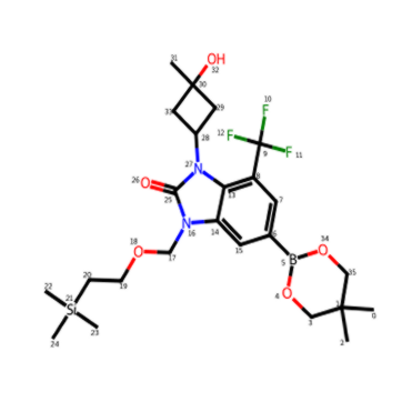 CC1(C)COB(c2cc(C(F)(F)F)c3c(c2)n(COCC[Si](C)(C)C)c(=O)n3C2CC(C)(O)C2)OC1